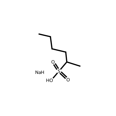 CCCCC(C)S(=O)(=O)O.[NaH]